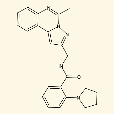 Cc1nc2ccccc2c2cc(CNC(=O)c3ccccc3N3CCCC3)nn12